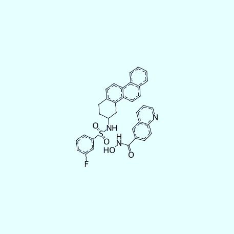 O=C(NO)c1ccc2ncccc2c1.O=S(=O)(NC1CCc2ccc3c(ccc4ccccc43)c2C1)c1cccc(F)c1